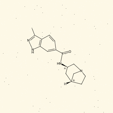 Cc1n[nH]c2cc(C(=O)N[C@@H]3C[C@H]4CCN(C4)C3)ccc12